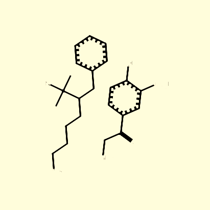 CCCCCCCCCCCC(=O)c1ccc(O)c(C(=O)O)c1.CCCCCCCCCCCCCCC(Cc1ccccc1)C(C)(C)N